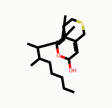 CCCCCC(C)C(C)C1=C2OC(O)C=C3CSCCC32C(C)(C)C=C1